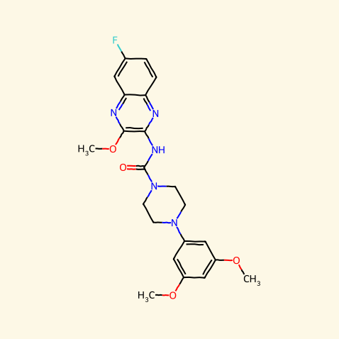 COc1cc(OC)cc(N2CCN(C(=O)Nc3nc4ccc(F)cc4nc3OC)CC2)c1